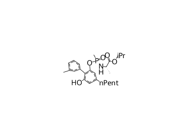 CCCCCc1cc(O)c(-c2cccc(C)c2)c(OP(C)(=O)N[C@@H](C)C(=O)OC(C)C)c1